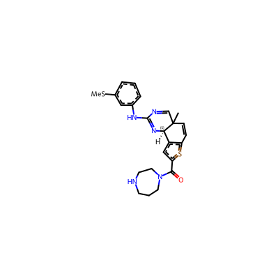 CSc1cccc(NC2=N[C@@H]3c4cc(C(=O)N5CCCNCC5)sc4C=CC3(C)C=N2)c1